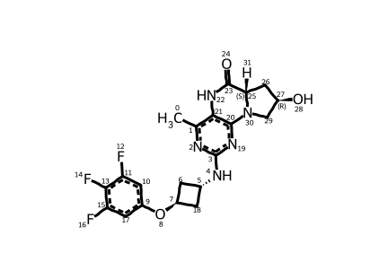 Cc1nc(N[C@H]2C[C@H](Oc3cc(F)c(F)c(F)c3)C2)nc2c1NC(=O)[C@@H]1C[C@@H](O)CN21